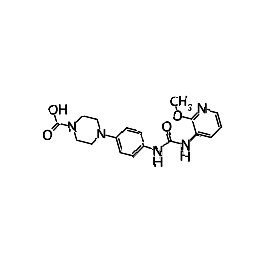 COc1ncccc1NC(=O)Nc1ccc(N2CCN(C(=O)O)CC2)cc1